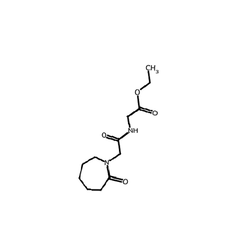 CCOC(=O)CNC(=O)CN1CCCCCC1=O